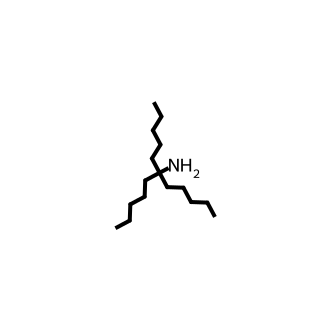 CCCCCC(N)(CCCCC)CCCCC